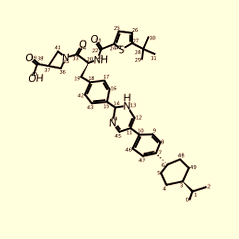 CC(C)[C@H]1CC[C@H](c2ccc(C3=CNC(c4ccc(C[C@H](NC(=O)c5ccc(C(C)(C)C)s5)C(=O)N5CC(C(=O)O)C5)cc4)N=C3)cc2)CC1